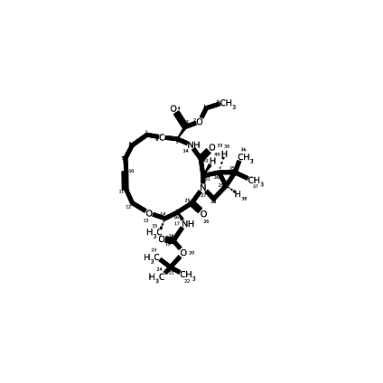 CCOC(=O)[C@@H]1CCCCC=CCO[C@@H](C)[C@H](NC(=O)OC(C)(C)C)C(=O)N2C[C@H]3[C@@H]([C@H]2C(=O)N1)C3(C)C